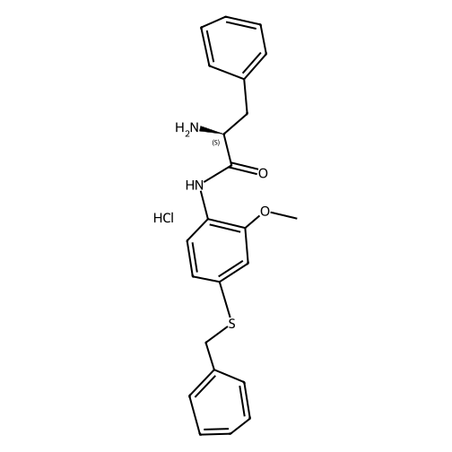 COc1cc(SCc2ccccc2)ccc1NC(=O)[C@@H](N)Cc1ccccc1.Cl